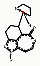 CC(C)n1nc2c3c(c(=O)nccc31)C([C@H]1CN3CCC1CC3)CC2